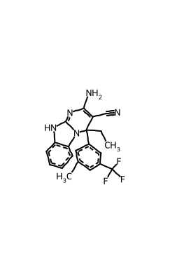 CCC1(c2cc(C)cc(C(F)(F)F)c2)C(C#N)=C(N)N=C2Nc3ccccc3N21